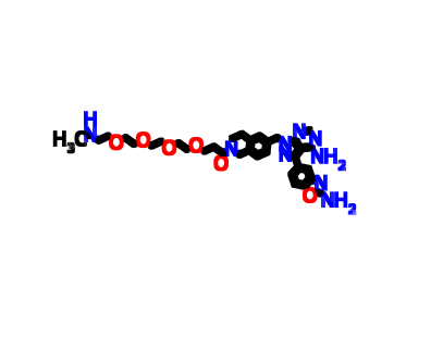 CNCCOCCOCCOCCOCCC(=O)N1CCc2cc(Cn3nc(-c4ccc5oc(N)nc5c4)c4c(N)ncnc43)ccc2C1